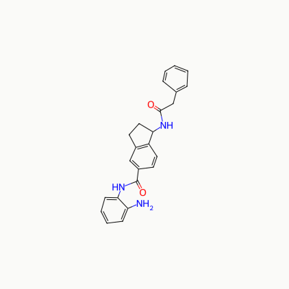 Nc1ccccc1NC(=O)c1ccc2c(c1)CCC2NC(=O)Cc1ccccc1